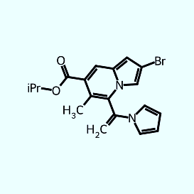 C=C(c1c(C)c(C(=O)OC(C)C)cc2cc(Br)cn12)n1cccc1